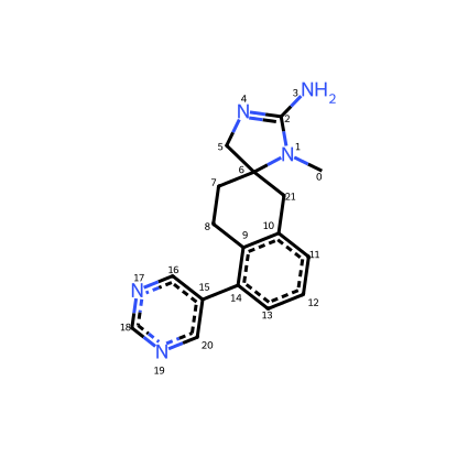 CN1C(N)=NCC12CCc1c(cccc1-c1cncnc1)C2